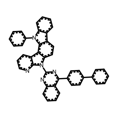 c1ccc(-c2ccc(-c3nc(-n4c5ccc6c7ccccc7n(-c7ccccc7)c6c5c5cccnc54)nc4ccccc34)cc2)cc1